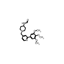 COc1cc(-c2cc(CN3CCC(NC=O)CC3)ccn2)cc(OC)c1OC